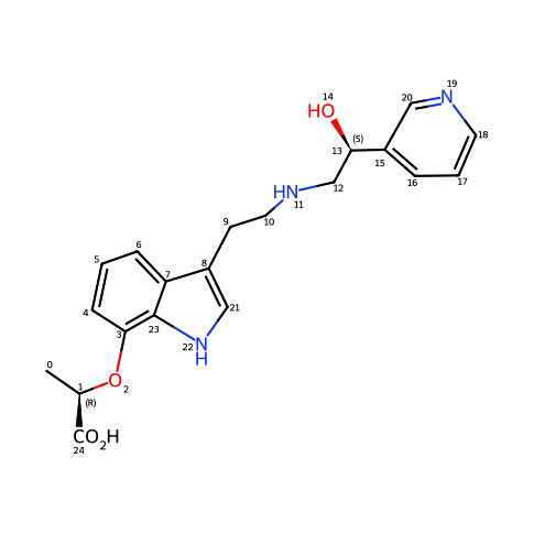 C[C@@H](Oc1cccc2c(CCNC[C@@H](O)c3cccnc3)c[nH]c12)C(=O)O